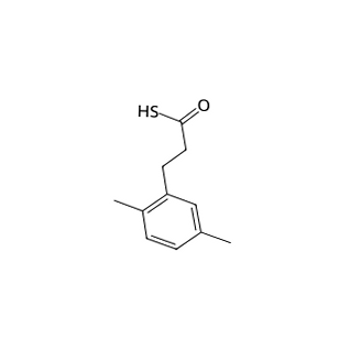 Cc1ccc(C)c(CCC(=O)S)c1